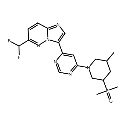 CC1CC(P(C)(C)=O)CN(c2cc(-c3cnc4ccc(C(F)F)nn34)ncn2)C1